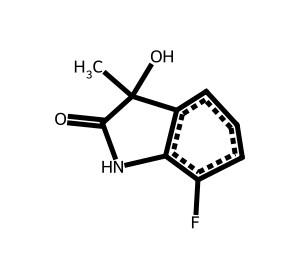 CC1(O)C(=O)Nc2c(F)cccc21